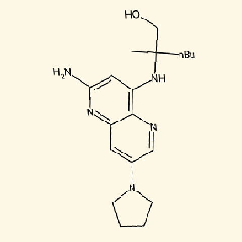 CCCCC(C)(CO)Nc1cc(N)nc2cc(N3CCCC3)cnc12